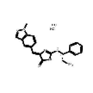 Cl.Cl.Cn1ncc2cc(/C=C3\N=C(N[C@@H](CN)c4ccccc4)NC3=O)ccc21